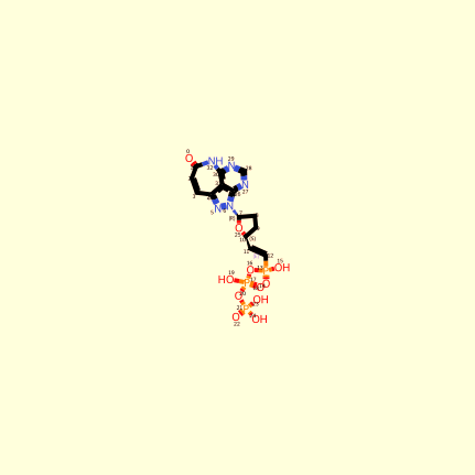 O=C1C=Cc2nn([C@H]3CC[C@@H](/C=C/P(=O)(O)OP(=O)(O)OP(=O)(O)O)O3)c3ncnc(c23)N1